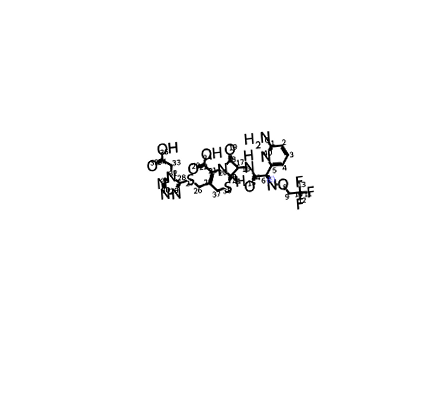 Nc1cccc(/C(=N\OCC(F)(F)F)C(=O)NC2C(=O)N3C(C(=O)O)=C(CSc4nnnn4CC(=O)O)CS[C@H]23)n1